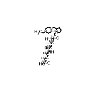 CCN1CCN(CC2CCC[15N]2C[13C](=O)[15NH][13CH2][13CH2][13CH2][13C](=O)[15NH][13CH2][13CH2][13CH2][13C](=O)O)CC1